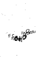 CC(C)(C)OC(=O)NC1CCCN(c2ncn(-c3ccc(OC(F)(F)F)cc3)n2)C1